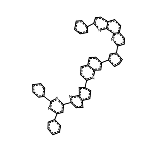 c1ccc(-c2cc(-c3ccc4ccc(-c5ccc6ccc(-c7cccc(-c8ccc9ccc%10ccc(-c%11ccccc%11)nc%10c9n8)c7)cc6n5)cc4n3)nc(-c3ccccc3)n2)cc1